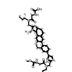 CCCN(Cc1ncc(-c2ccc3c(c2)COc2cc4c(ccc5nc(CN(C(=O)CNC(=O)O)[C@@H](C)CC)n(N)c54)cc2-3)[nH]1)C(=O)CNC(=O)OC